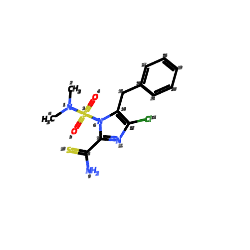 CN(C)S(=O)(=O)n1c(C(N)=S)nc(Cl)c1Cc1ccccc1